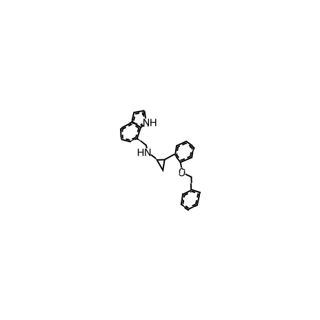 c1ccc(COc2ccccc2C2CC2NCc2cccc3cc[nH]c23)cc1